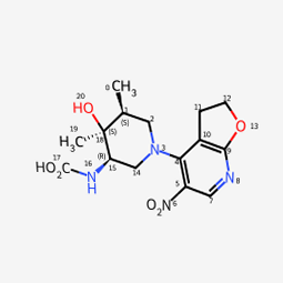 C[C@H]1CN(c2c([N+](=O)[O-])cnc3c2CCO3)C[C@@H](NC(=O)O)[C@@]1(C)O